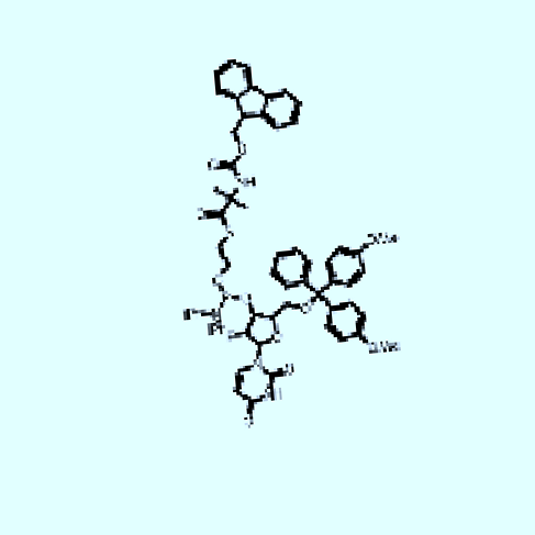 COc1ccc(C(OCC2OC(n3ccc(=O)[nH]c3=O)C(F)C2OP(OCCSC(=O)C(C)(C)NC(=O)OCC2c3ccccc3-c3ccccc32)N(C(C)C)C(C)C)(c2ccccc2)c2ccc(OC)cc2)cc1